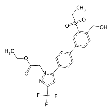 CCOC(=O)Cn1nc(C(F)(F)F)cc1-c1ccc(-c2ccc(CO)c(S(=O)(=O)CC)c2)cc1